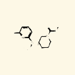 CN(c1cccc(Br)n1)[C@H]1CCCN(C(=O)OC(C)(C)C)C1